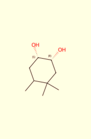 CC1C[C@H](O)[C@H](O)CC1(C)C